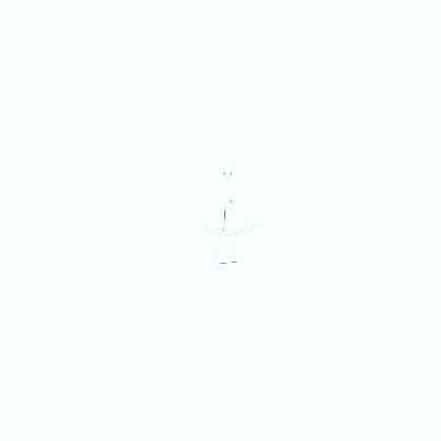 OP1(O)(O)OO1.[CaH2].[MgH2]